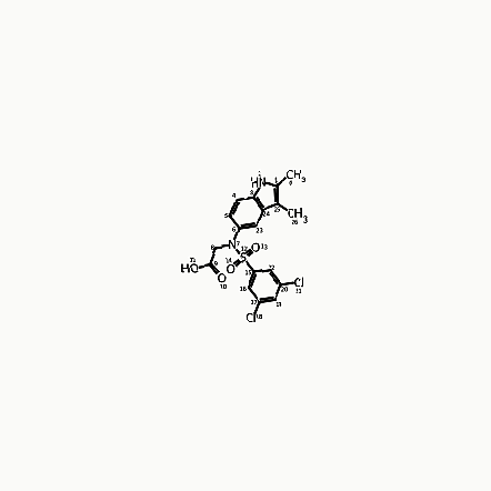 Cc1[nH]c2ccc(N(CC(=O)O)S(=O)(=O)c3cc(Cl)cc(Cl)c3)cc2c1C